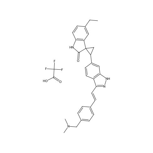 CCc1ccc2c(c1)C1(CC1c1ccc3c(/C=C/c4ccc(CN(C)C)cc4)n[nH]c3c1)C(=O)N2.O=C(O)C(F)(F)F